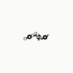 C[C@@H]1CN(Cc2ccc(F)cc2)[C@@H](C)CN1C(=O)COC1=CC=C(Cl)C[CH]1